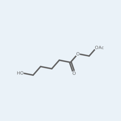 CC(=O)OCOC(=O)CCCCO